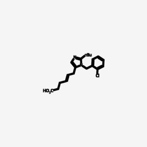 CCCCc1ncc(CC=CCCC(=O)O)n1Cc1ccccc1Cl